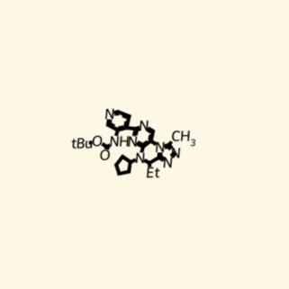 CCC1c2nnc(C)n2-c2cnc(-c3ccncc3NC(=O)OC(C)(C)C)nc2N1C1CCCC1